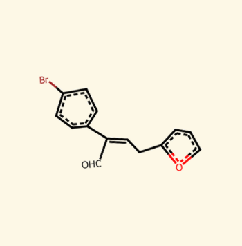 O=CC(=CCc1ccco1)c1ccc(Br)cc1